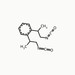 CC(CN=C=O)c1ccccc1C(C)CN=C=O